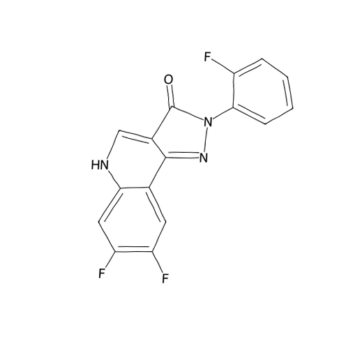 O=c1c2c[nH]c3cc(F)c(F)cc3c-2nn1-c1ccccc1F